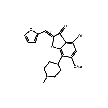 COc1cc(O)c2c(c1C1CCN(C)CC1)O/C(=C\c1ccco1)C2=O